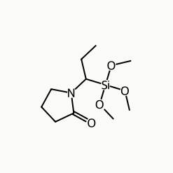 CCC(N1CCCC1=O)[Si](OC)(OC)OC